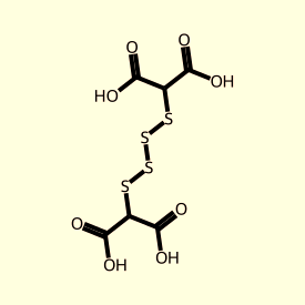 O=C(O)C(SSSSC(C(=O)O)C(=O)O)C(=O)O